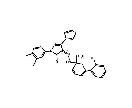 Cc1ccc(N2N=C(c3ccsc3)/C(=N/NC3(C(=O)O)C=CC=C(c4ccccc4O)C3)C2=O)cc1C